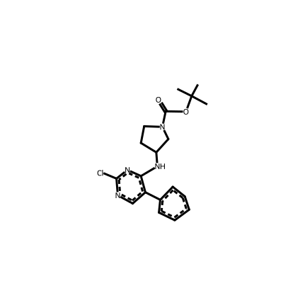 CC(C)(C)OC(=O)N1CCC(Nc2nc(Cl)ncc2-c2ccccc2)C1